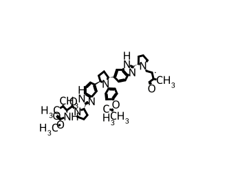 COC(=O)N[C@H](C(=O)N1CCC[C@H]1c1nc2cc([C@H]3CC[C@H](c4ccc5nc([C@@H]6CCCN6C[CH]C(C)C=O)[nH]c5c4)N3c3ccc(OC(C)C)cc3)ccc2[nH]1)C(C)C